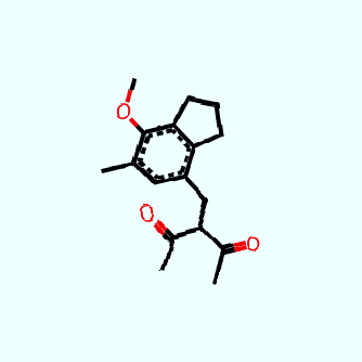 COc1c(C)cc(CC(C(C)=O)C(C)=O)c2c1CCC2